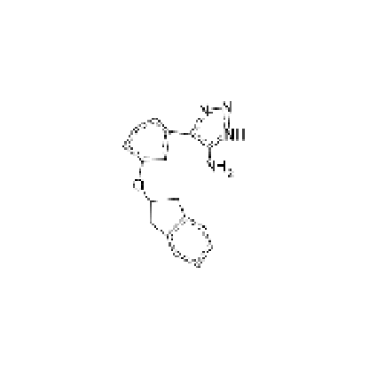 Nc1[nH]nnc1-c1cccc(OC2Cc3ccccc3C2)c1